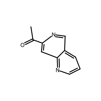 CC(=O)c1cc2ncccc2cn1